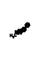 CC(N)CC(=N)Cc1ccc(-c2ccccc2)cc1